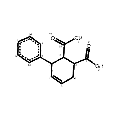 O=C(O)C1CC=CC(c2ccccc2)C1C(=O)O